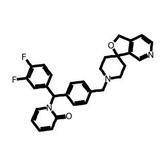 O=c1ccccn1C(c1ccc(CN2CCC3(CC2)OCc2ccncc23)cc1)c1ccc(F)c(F)c1